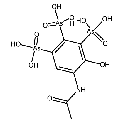 CC(=O)Nc1[c]c([As](=O)(O)O)c([As](=O)(O)O)c([As](=O)(O)O)c1O